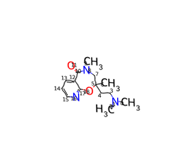 CN(C)CCC1(C)CN(C)C(=O)c2cccnc2O1